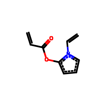 C=CC(=O)Oc1cccn1C=C